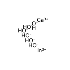 [Ga+3].[In+3].[OH-].[OH-].[OH-].[OH-].[OH-].[OH-]